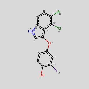 Oc1ccc(Oc2c[nH]c3ccc(Br)c(Cl)c23)cc1I